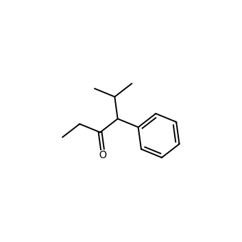 CCC(=O)C(c1ccccc1)C(C)C